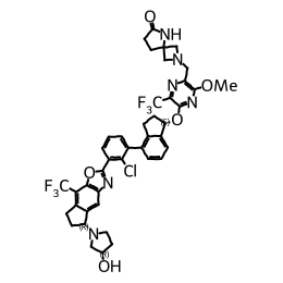 COc1nc(O[C@H]2CCc3c(-c4cccc(-c5nc6cc7c(c(C(F)(F)F)c6o5)CC[C@H]7N5CC[C@@H](O)C5)c4Cl)cccc32)c(C(F)(F)F)nc1CN1CC2(CCC(=O)N2)C1